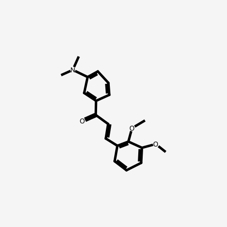 COc1cccc(C=CC(=O)c2cccc(N(C)C)c2)c1OC